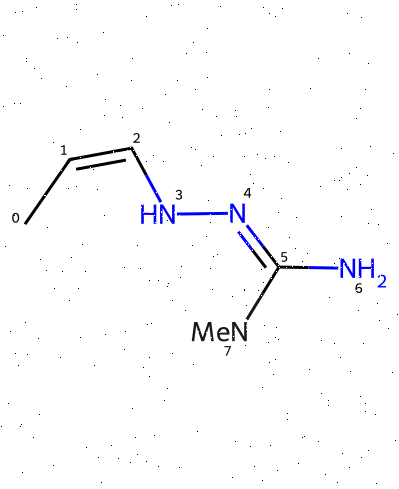 C/C=C\N/N=C(/N)NC